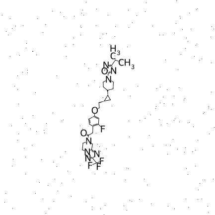 CC(C)c1noc(N2CCC([C@H]3C[C@H]3CCOc3ccc(CC(=O)N4CCn5nc(C(F)(F)F)nc5C4)c(F)c3)CC2)n1